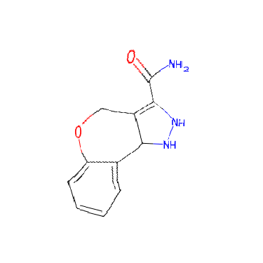 NC(=O)C1=C2COc3ccccc3C2NN1